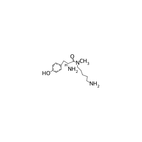 CN(CCCCCN)C(=O)[C@H](N)Cc1ccc(O)cc1